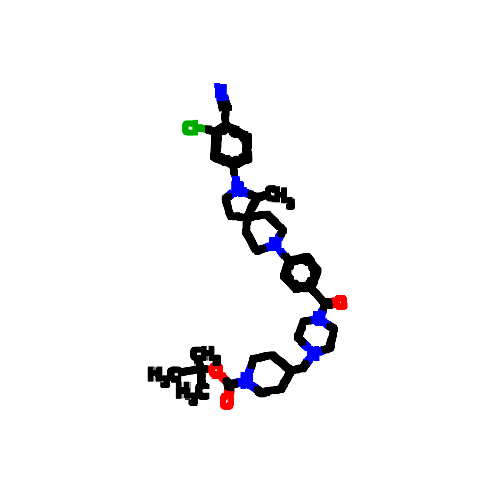 CC1N(c2ccc(C#N)c(Cl)c2)CCC12CCN(c1ccc(C(=O)N3CCN(CC4CCN(C(=O)OC(C)(C)C)CC4)CC3)cc1)CC2